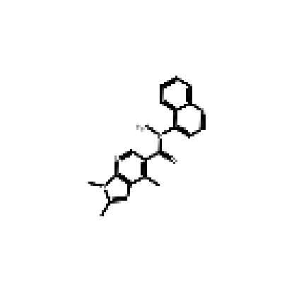 Cc1c(C(=O)N(N)c2ccnc3ccccc23)cnc2c1cc(C)n2C